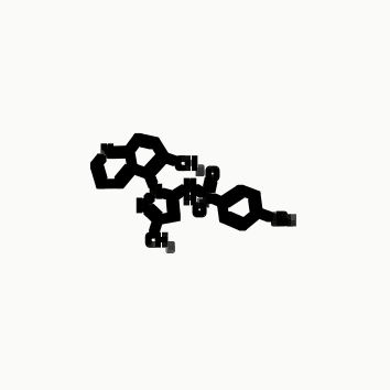 Cc1cc(NS(=O)(=O)c2ccc(C(C)(C)C)cc2)n(-c2c(C)ccc3ncccc23)n1